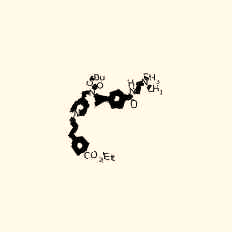 CCOC(=O)c1ccc(CCCN2CCC(CN(C(=O)OC(C)(C)C)C3CC3c3ccc(C(=O)NCCN(C)C)cc3)CC2)cc1